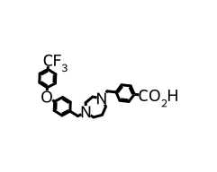 O=C(O)c1ccc(CN2CCCN(Cc3ccc(Oc4ccc(C(F)(F)F)cc4)cc3)CC2)cc1